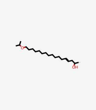 [CH2]C(O)CC=CCCCCCCCCCCCCOC(C)C